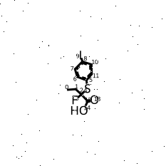 CCC(F)(Sc1ccc(I)cc1)C(=O)O